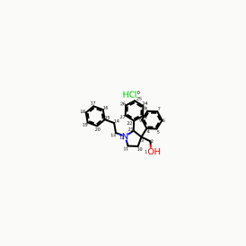 Cl.OCC1(c2ccccc2)CCN(CCc2ccccc2)C1c1ccccc1